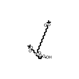 CC(C)(C)OC(=O)CCCCCCCCCCCCCCC(=O)N(CCC(=O)OC(C)(C)C)Cc1ccc(OCO)o1